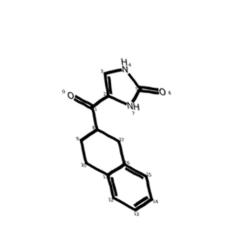 O=C(c1c[nH]c(=O)[nH]1)C1CCc2ccccc2C1